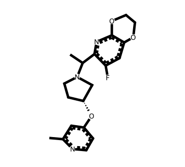 Cc1cc(O[C@@H]2CCN(C(C)c3nc4c(cc3F)OCCO4)C2)ccn1